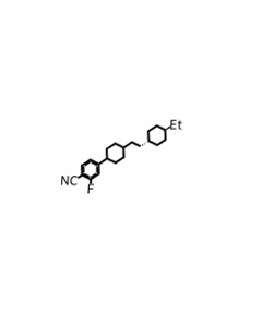 CC[C@H]1CC[C@H](CCC2CCC(c3ccc(C#N)c(F)c3)CC2)CC1